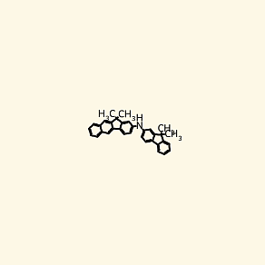 CC1(C)c2ccccc2-c2ccc(Nc3ccc4c(c3)C(C)(C)c3cc5ccccc5cc3-4)cc21